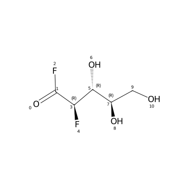 O=C(F)[C@H](F)[C@H](O)[C@H](O)CO